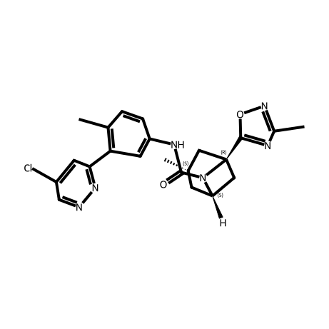 Cc1noc([C@@]23C[C@@H](C)C[C@@H](C2)N3C(=O)Nc2ccc(C)c(-c3cc(Cl)cnn3)c2)n1